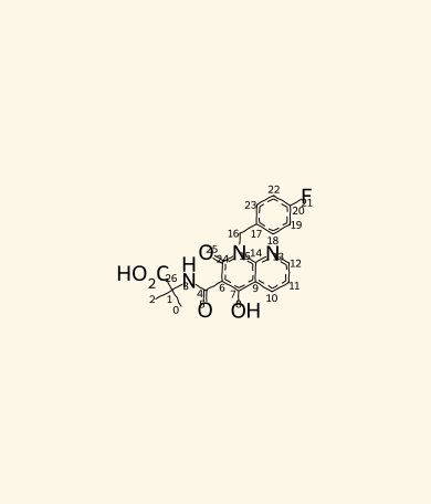 CC(C)(NC(=O)c1c(O)c2cccnc2n(Cc2ccc(F)cc2)c1=O)C(=O)O